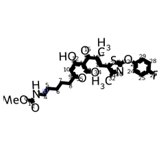 COC(=O)N/C=C/CCCc1cc(O)c(C(=O)C(C)=Cc2sc(Oc3ccc(F)cc3)nc2C)c(=O)o1